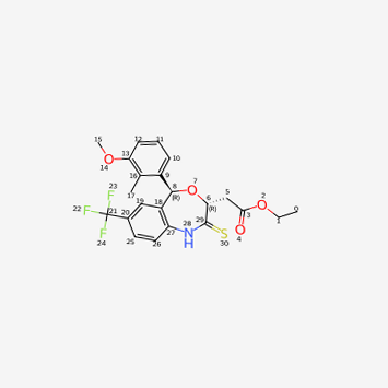 CCOC(=O)C[C@H]1O[C@H](c2cccc(OC)c2C)c2cc(C(F)(F)F)ccc2NC1=S